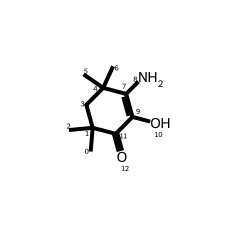 CC1(C)CC(C)(C)C(N)=C(O)C1=O